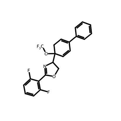 Fc1cccc(F)c1C1=NC(C2(OC(F)(F)F)C=CC(c3ccccc3)=CC2)CO1